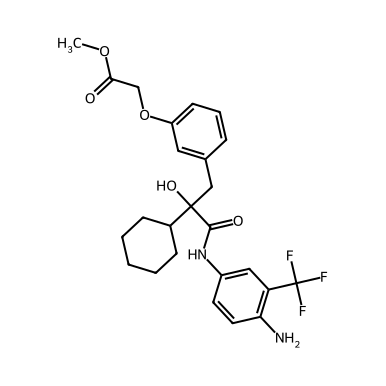 COC(=O)COc1cccc(CC(O)(C(=O)Nc2ccc(N)c(C(F)(F)F)c2)C2CCCCC2)c1